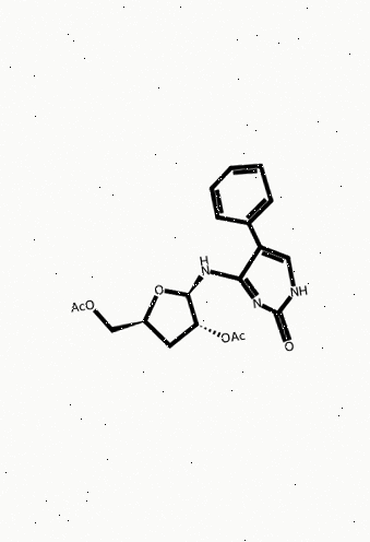 CC(=O)OC[C@@H]1C[C@@H](OC(C)=O)[C@H](Nc2nc(=O)[nH]cc2-c2ccccc2)O1